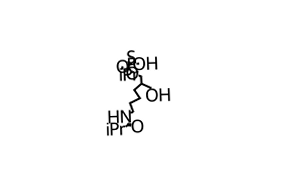 CC(C)OP(O)(=S)OCC(CO)CCCCNC(=O)C(C)C